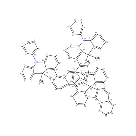 CC1(C)c2ccccc2N(c2ccccc2)c2cccc(-c3cccc4c(-c5cccc6c5C5(c7ccccc7-c7ccccc75)c5ccc7ccccc7c5-6)c5cccc(-c6cccc7c6C(C)(C)c6ccccc6N7c6ccccc6)c5cc34)c21